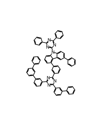 c1ccc(-c2cccc(-c3cccc(-c4nc(-c5cccc(-c6ccccc6)c5)nc(-c5cccc(-c6cccc7c6c6cc(-c8ccccc8)ccc6n7-c6nc(-c7ccccc7)nc(-c7ccccc7)n6)c5)n4)c3)c2)cc1